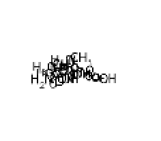 CN(C)c1cc(CNC(=O)Oc2ccc(O)cc2)c(O)c2c1C[C@H]1C[C@H]3[C@H](N(C)C)C(O)=C(C(N)=O)C(=O)[C@@]3(O)C(O)=C1C2=O